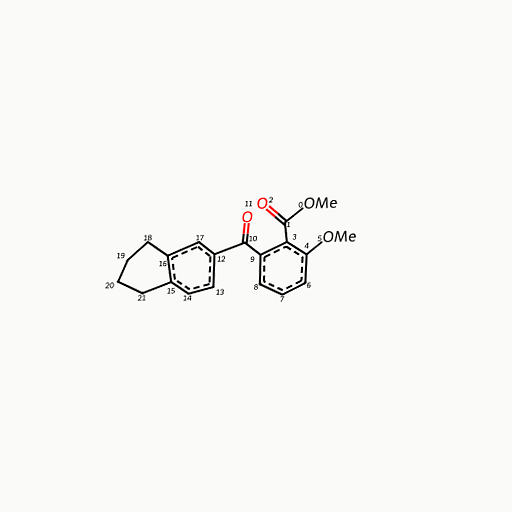 COC(=O)c1c(OC)cccc1C(=O)c1ccc2c(c1)CCCC2